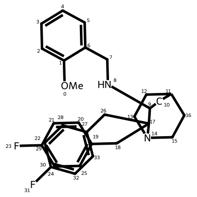 COc1ccccc1CNC1CC2CCN(CC2)C1(Cc1ccc(F)cc1)Cc1ccc(F)cc1